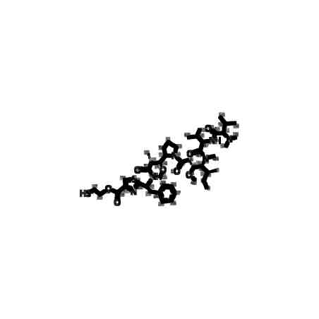 CC[C@H](C)[C@@H]([C@@H](CC(=O)N1CCCC1[C@H](OC)[C@@H](C)C(=O)N[C@@H](Cc1ccccc1)c1nc(C(=O)OCCS)cs1)OC)N(C)C(=O)C(NC(=O)C(C(C)C)N(C)C)C(C)C